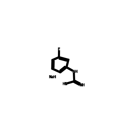 N=C(S)Nc1cccc(F)c1.[NaH]